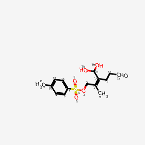 C/C(COS(=O)(=O)c1ccc(C)cc1)=C(\CCC=O)C(O)O